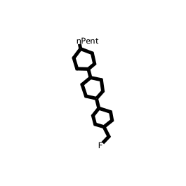 CCCCCC1CCC(C2CCC(C3CCC(CF)CC3)CC2)CC1